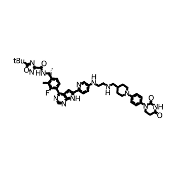 Cc1c([C@@H](C)NC(=O)c2noc(C(C)(C)C)n2)ccc(-c2ncnc3[nH]c(-c4ccc(NCCNCC5CCN(c6ccc(N7CCC(=O)NC7=O)cc6)CC5)cn4)cc23)c1F